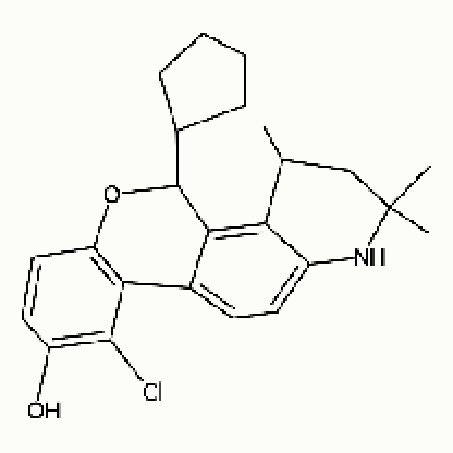 CC1CC(C)(C)Nc2ccc3c(c21)C(C1CCCC1)Oc1ccc(O)c(Cl)c1-3